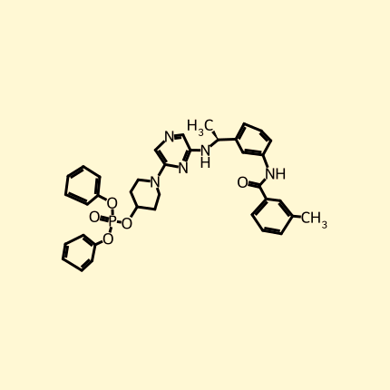 Cc1cccc(C(=O)Nc2cccc([C@H](C)Nc3cncc(N4CCC(OP(=O)(Oc5ccccc5)Oc5ccccc5)CC4)n3)c2)c1